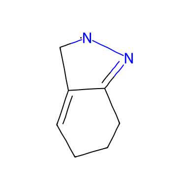 C1=C2C[N]N=C2CCC1